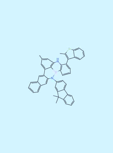 Cc1cc2c3c(c1)-c1cc4ccccc4cc1N(c1ccc4c(c1)C(C)(C)c1ccccc1-4)B3c1cccc(-c3c(C)sc4ccccc34)c1N2